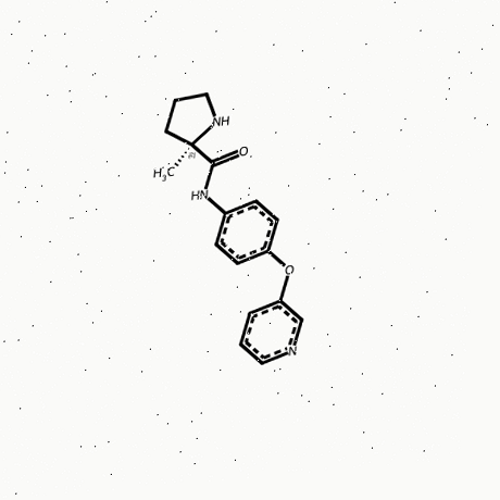 C[C@]1(C(=O)Nc2ccc(Oc3cccnc3)cc2)CCCN1